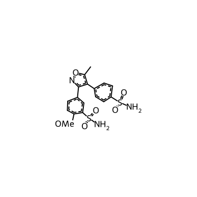 COc1ccc(-c2noc(C)c2-c2ccc(S(N)(=O)=O)cc2)cc1S(N)(=O)=O